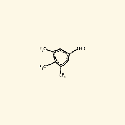 O=Cc1cc(C(F)(F)F)c(C(F)(F)F)c(C(F)(F)F)c1